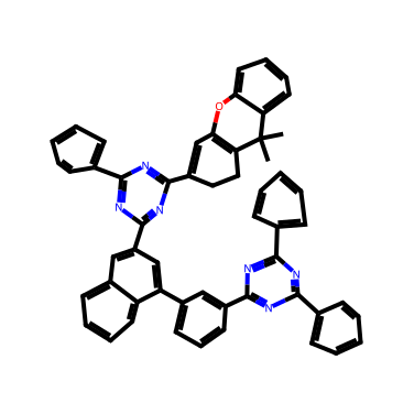 CC1(C)C2=C(C=C(c3nc(-c4ccccc4)nc(-c4cc(-c5cccc(-c6nc(-c7ccccc7)nc(-c7ccccc7)n6)c5)c5ccccc5c4)n3)CC2)Oc2ccccc21